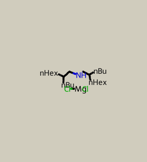 CCCCCCC(CCCC)CNCC(CCCC)CCCCCC.[Cl][Mg][Cl]